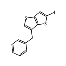 Ic1cc2scc(Cc3ccccc3)c2s1